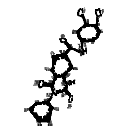 O=C(Nc1ccc(Cl)c(Cl)c1)c1ccc2c(=O)n(-c3ccccc3)c(=O)[nH]c2c1